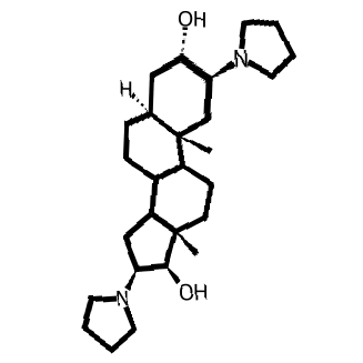 C[C@]12CCC3C(CC[C@H]4C[C@H](O)[C@@H](N5CCCC5)C[C@]34C)C1C[C@H](N1CCCC1)[C@@H]2O